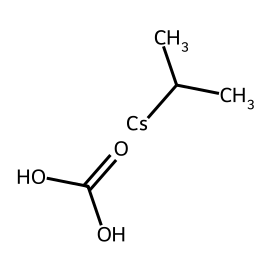 C[CH](C)[Cs].O=C(O)O